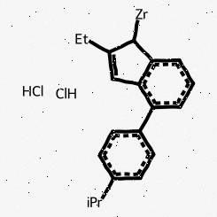 CCC1=Cc2c(-c3ccc(C(C)C)cc3)cccc2[CH]1[Zr].Cl.Cl